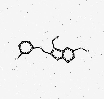 CCOc1ccc2nc(COc3cccc(Cl)c3)n(CC(C)C)c2c1